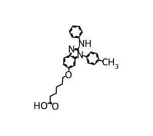 Cc1ccc(-n2c(Nc3ccccc3)nc3ccc(OCCCCCC(=O)O)cc32)cc1